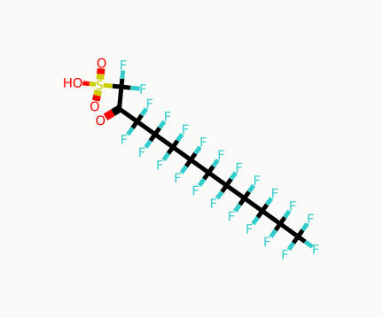 O=C(C(F)(F)C(F)(F)C(F)(F)C(F)(F)C(F)(F)C(F)(F)C(F)(F)C(F)(F)C(F)(F)C(F)(F)F)C(F)(F)S(=O)(=O)O